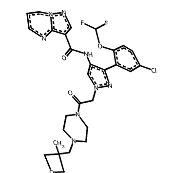 CC1(CN2CCN(C(=O)Cn3cc(NC(=O)c4cnn5cccnc45)c(-c4cc(Cl)ccc4OC(F)F)n3)CC2)COC1